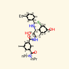 CCCN(CCC)C(=O)c1cc(C)cc(C(=O)N[C@@H](Cc2cc(O)cc(F)c2)[C@H](O)CNCc2cccc(CC)c2)c1